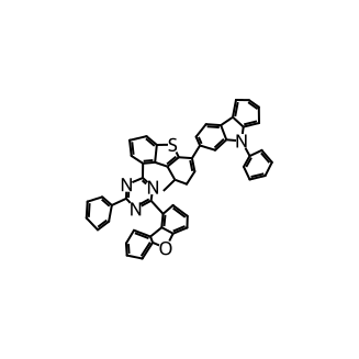 CC1CC=C(c2ccc3c4ccccc4n(-c4ccccc4)c3c2)c2sc3cccc(-c4nc(-c5ccccc5)nc(-c5cccc6oc7ccccc7c56)n4)c3c21